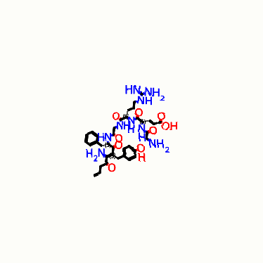 CCCC(=O)C(N)[C@H](Cc1ccc(O)cc1)C(=O)[C@H](Cc1ccccc1)NC(=O)CNC(=O)[C@H](CCCNC(=N)N)NC(=O)[C@H](CCC(=O)O)NC(=O)CN